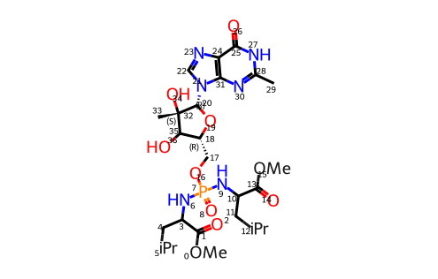 COC(=O)C(CC(C)C)NP(=O)(NC(CC(C)C)C(=O)OC)OC[C@H]1O[C@@H](n2cnc3c(=O)[nH]c(C)nc32)[C@@](C)(O)C1O